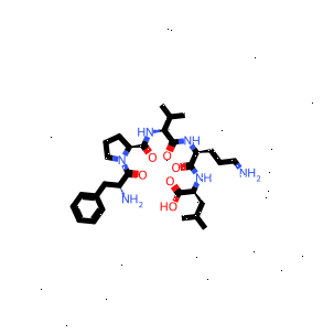 CC(C)C[C@H](NC(=O)[C@H](CCCN)NC(=O)[C@@H](NC(=O)[C@@H]1CCCN1C(=O)[C@H](N)Cc1ccccc1)C(C)C)C(=O)O